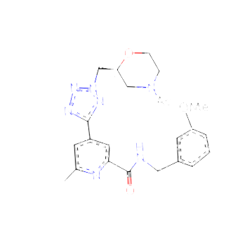 COc1cccc(CNC(=O)c2cc(-c3nnn(C[C@@H]4CN(C(C)=O)CCO4)n3)cc(C)n2)c1